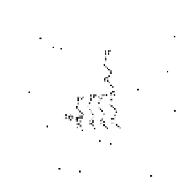 COCC[O-].COCC[O-].COCC[O-].COCC[O-].COCC[O-].[Al+3].[Mg+2]